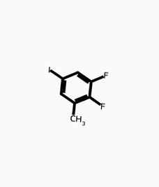 Cc1cc(I)cc(F)c1F